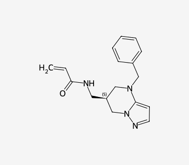 C=CC(=O)NC[C@H]1CN(Cc2ccccc2)c2ccnn2C1